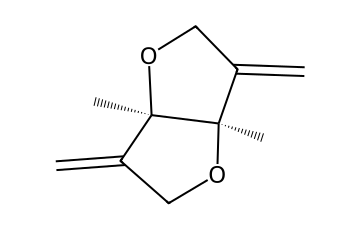 C=C1CO[C@]2(C)C(=C)CO[C@]12C